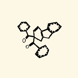 O=C(c1ccccc1)C1(C(=O)c2ccccc2)C=CC2=C(Cc3ccccc32)C1